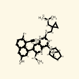 C#Cc1c(F)ccc2cc(O)cc(-c3cc4nc(OCC5(CN(C)C)CC5)nc(N5CC6CCC(C5)N6)c4nc3SC)c12